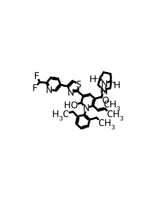 CCc1cccc(CC)c1N1C(C=C(C)C)=C(C(=O)N2C[C@H]3CC[C@@H](C2)N3)C=C(c2nc(-c3ccc(C(F)F)nc3)cs2)C1O